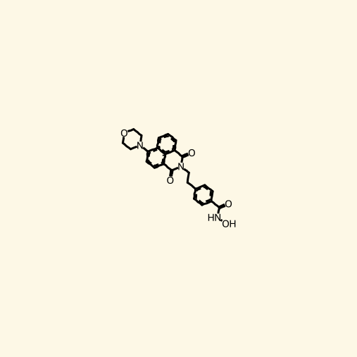 O=C(NO)c1ccc(CCN2C(=O)c3cccc4c(N5CCOCC5)ccc(c34)C2=O)cc1